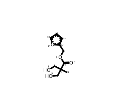 CC(CO)(CO)C(=O)OCc1ccco1